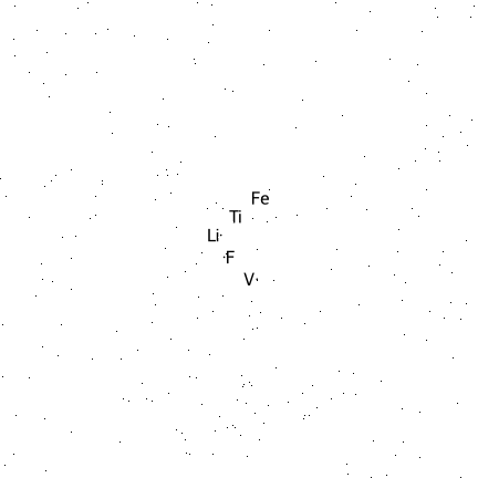 [F].[Fe].[Li].[Ti].[V]